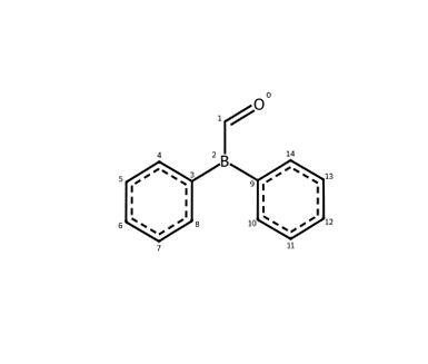 O=CB(c1ccccc1)c1ccccc1